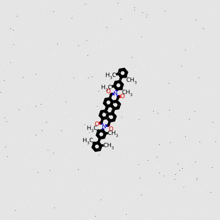 Cc1cccc(C)c1-c1cc(C)c(N2C(=O)c3ccc4c5ccc6c7c(ccc(c8ccc(c3c48)C2=O)c75)C(=O)N(c2c(C)cc(-c3c(C)cccc3C)cc2C)C6=O)c(C)c1